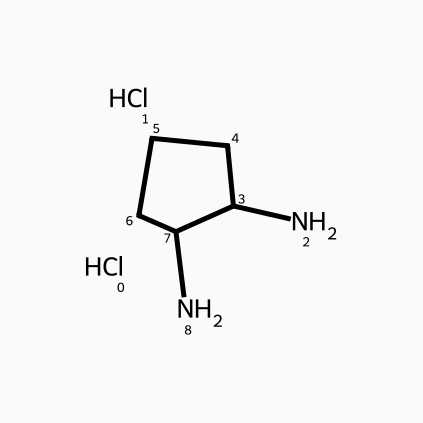 Cl.Cl.NC1CCCC1N